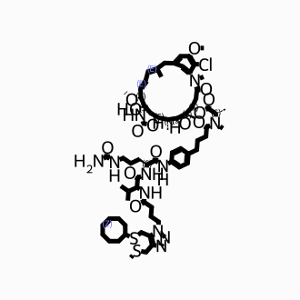 COc1cc2cc(c1Cl)N(C)C(=O)C[C@H](OC(=O)[C@H](C)N(C)C(=O)CCCc1ccc(NC(=O)[C@H](CCCNC(N)=O)NC(=O)C(NC(=O)CCCn3nnc(CSC)c3CSC3CC/C=C\CCC3)C(C)C)cc1)[C@]1(C)O[C@H]1[C@H](C)[C@@H]1C[C@@](O)(NC(=O)O1)[C@H](OC)/C=C/C=C(\C)C2